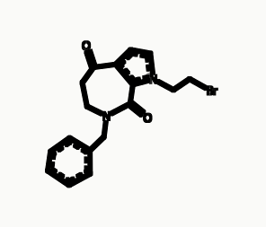 O=C1CCN(Cc2ccccc2)C(=O)c2c1ccn2CCBr